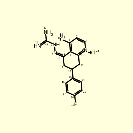 Cc1ccnc2c1/C(=N\NC(=N)N)CC(c1ccc(F)cc1)C2.Cl